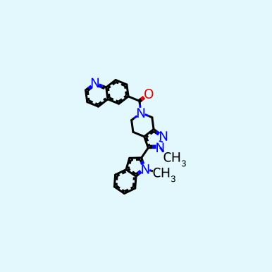 Cn1nc2c(c1-c1cc3ccccc3n1C)CCN(C(=O)c1ccc3ncccc3c1)C2